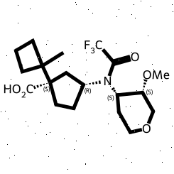 CO[C@@H]1COCC[C@@H]1N(C(=O)C(F)(F)F)[C@@H]1CC[C@@](C(=O)O)(C2(C)CCC2)C1